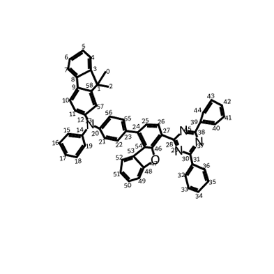 CC1(C)c2ccccc2-c2ccc(N(c3ccccc3)c3ccc(-c4ccc(-c5nc(-c6ccccc6)nc(-c6ccccc6)n5)c5oc6ccccc6c45)cc3)cc21